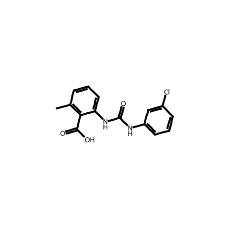 Cc1cccc(NC(=O)Nc2cccc(Cl)c2)c1C(=O)O